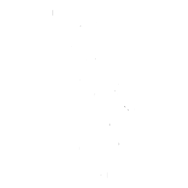 CC(C)COCc1cc(CC(C)C)no1